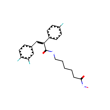 O=C(CCCCCNC(=O)C(=Cc1ccc(F)c(F)c1)c1ccc(F)cc1)NO